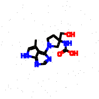 Cc1c[nH]c2ncnc(N3CCC(CO)(NC(=O)O)C3)c12